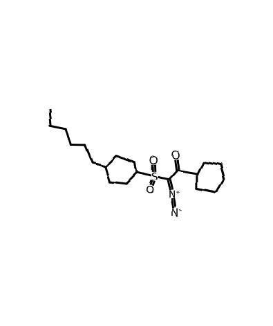 CCCCCCC1CCC(S(=O)(=O)C(=[N+]=[N-])C(=O)C2CCCCC2)CC1